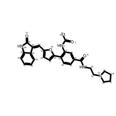 CCC(=O)Nc1cc(C(=O)NCCN2CCCC2)ccc1-c1ccc(/C=C2/C(=O)Nc3ccccc32)o1